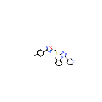 Cc1ccc(-c2noc(CSc3nnc(-c4cccnc4)n3-c3ccccc3C)n2)cc1